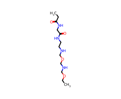 CCOCNCOCNCCNC(=O)CNC(=O)CC